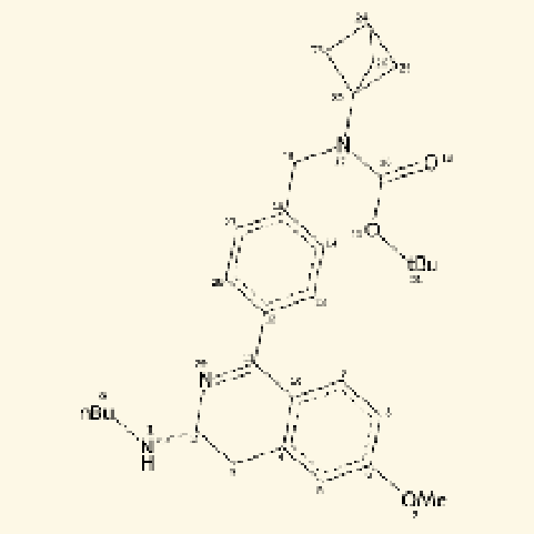 CCCCN[C@H]1Cc2cc(OC)ccc2C(c2ccc(CN(C(=O)OC(C)(C)C)C34CC(C3)C4)cc2)=N1